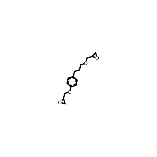 c1cc(OCC2CO2)ccc1CCCOCC1CO1